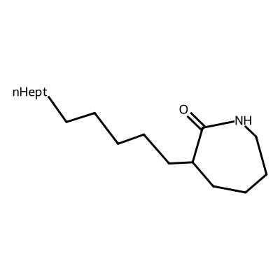 CCCCCCCCCCCCC1CCCCNC1=O